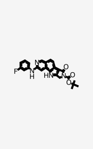 CC(C)(C)OC(=O)N1Cc2[nH]c3c(ccc4cnc(Nc5cccc(F)c5)cc43)c2C1=O